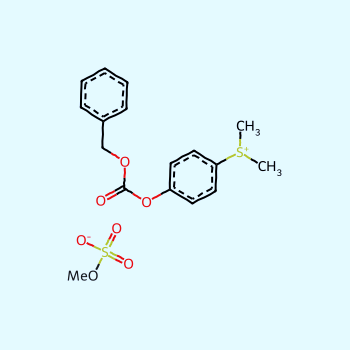 COS(=O)(=O)[O-].C[S+](C)c1ccc(OC(=O)OCc2ccccc2)cc1